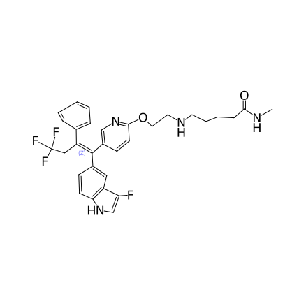 CNC(=O)CCCCNCCOc1ccc(/C(=C(/CC(F)(F)F)c2ccccc2)c2ccc3[nH]cc(F)c3c2)cn1